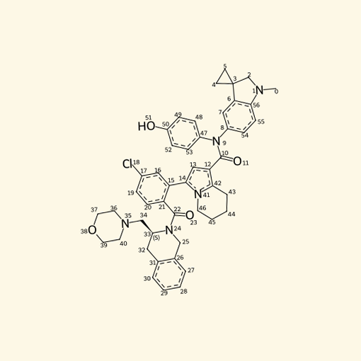 CN1CC2(CC2)c2cc(N(C(=O)c3cc(-c4cc(Cl)ccc4C(=O)N4Cc5ccccc5C[C@H]4CN4CCOCC4)n4c3CCCC4)c3ccc(O)cc3)ccc21